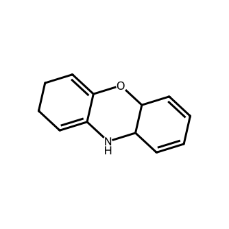 C1=CC2NC3=CCCC=C3OC2C=C1